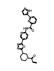 C=CC(=O)N1CCCC(c2nnc(-c3ccc(NC(=O)c4cccc(-c5ccn[nH]5)n4)nc3)o2)C1